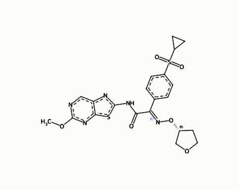 COc1ncc2nc(NC(=O)/C(=N/O[C@@H]3CCOC3)c3ccc(S(=O)(=O)C4CC4)cc3)sc2n1